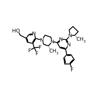 C[C@@H]1CN(c2ncc(CO)cc2C(F)(F)F)CCN1c1cc(-c2ccc(F)cc2)nc(N2CCC[C@@H]2C)n1